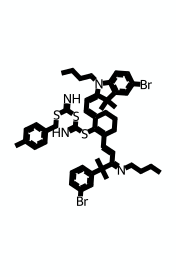 CCCC/N=C(\C=C\C1=C(SC(=N)SC(=N)SCc2ccc(C)cc2)C(=C/C=C2/N(CCCC)c3ccc(Br)cc3C2(C)C)/CCC1)C(C)(C)c1cccc(Br)c1